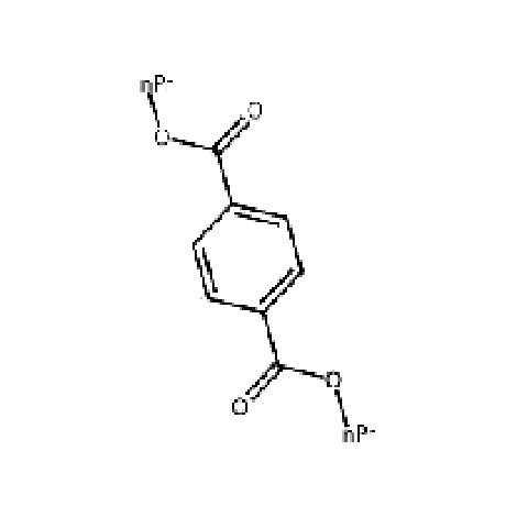 CCCOC(=O)c1[c]cc(C(=O)OCCC)cc1